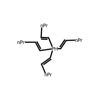 CCC/C=C/[PH](/C=C/CCC)(/C=C/CCC)/C=C/CCC